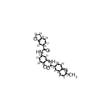 Cc1ccc2cc(C(=O)Nc3cc(NC(=O)c4ccc5c(c4)OCC5)ccc3Cl)ccc2n1